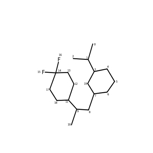 CC(C)C1CCCC(CC(C)C2CCC(F)(F)CC2)C1